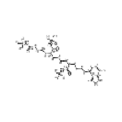 Cc1ccc(CCCCC(CCCCC(CCCCC(=O)OC(C)(C)C)C(=O)OC(C)(C)C)C(=O)OC(C)(C)C)c2c1=CCC=2